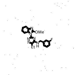 CCc1nnc(-n2c(OC)nc3ccccc32)nc1NCc1cccc(F)c1